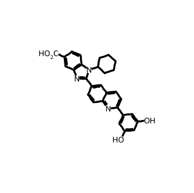 O=C(O)c1ccc2c(c1)nc(-c1ccc3nc(-c4cc(O)cc(O)c4)ccc3c1)n2C1CCCCC1